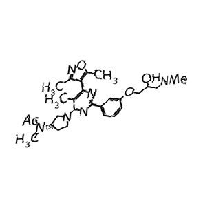 CNCC(O)COc1cccc(-c2nc(-c3c(C)noc3C)c(C)c(N3CC[C@H](N(C)C(C)=O)C3)n2)c1